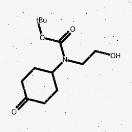 CC(C)(C)OC(=O)N(CCO)C1CCC(=O)CC1